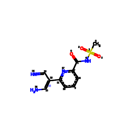 CS(=O)(=O)NC(=O)c1cccc(/C(C=N)=C/N)n1